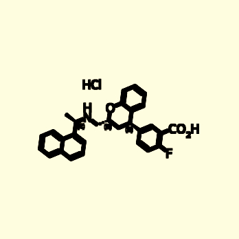 C[C@@H](NC[C@H]1C[C@H](c2ccc(F)c(C(=O)O)c2)c2ccccc2O1)c1cccc2ccccc12.Cl